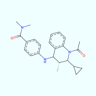 CC(=O)N1c2ccccc2C(Nc2ccc(C(=O)N(C)C)cc2)[C@@H](C)C1C1CC1